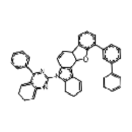 C1=CCCC(c2cccc(-c3cccc4c3OC3c5c6c(n(-c7nc(-c8ccccc8)c8c(n7)=CCCC=8)c5C=CC43)CCC=C6)c2)=C1